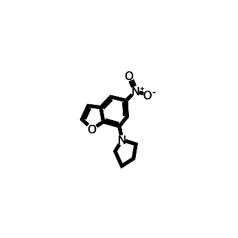 O=[N+]([O-])c1cc(N2CCCC2)c2occc2c1